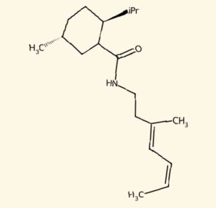 C/C=C\C=C(/C)CCNC(=O)C1C[C@H](C)CC[C@H]1C(C)C